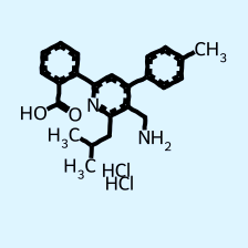 Cc1ccc(-c2cc(-c3ccccc3C(=O)O)nc(CC(C)C)c2CN)cc1.Cl.Cl